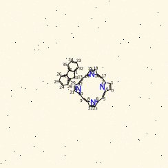 C1=CC2=NC1=CC1=NC(=CC3=NC(=CC4=NC(=C2)C=C4)C=C3)C=C1.c1ccc2c(c1)Cc1ccccc1-2